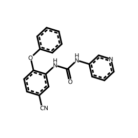 N#Cc1ccc(Oc2ccccc2)c(NC(=O)Nc2cccnc2)c1